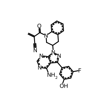 C=C(C#N)C(=O)N1CC(n2nc(-c3cc(O)cc(F)c3)c3c(N)ncnc32)Cc2ccccc21